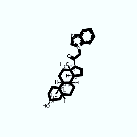 C[C@]12CC[C@@H](O)C[C@H]1CC[C@@H]1[C@@H]2CC[C@]2(C)[C@@H](C(=O)Cn3cnc4ccccc43)CC[C@@H]12